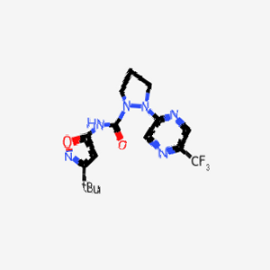 CC(C)(C)c1cc(NC(=O)N2CCCN2c2cnc(C(F)(F)F)cn2)on1